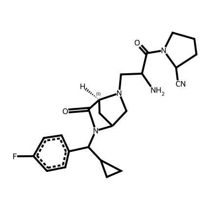 N#CC1CCCN1C(=O)C(N)CN1CC2C[C@H]1C(=O)N2C(c1ccc(F)cc1)C1CC1